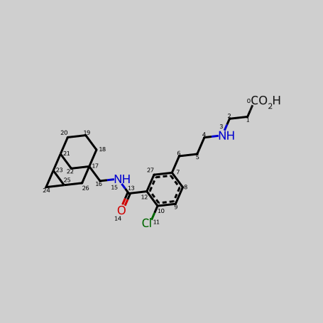 O=C(O)CCNCCCc1ccc(Cl)c(C(=O)NCC23CCCC(C2)C2CC2C3)c1